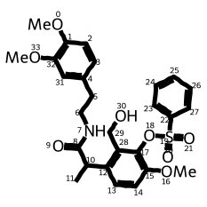 COc1ccc(CCNC(=O)C(C)c2ccc(OC)c(OS(=O)(=O)c3ccccc3)c2CO)cc1OC